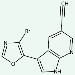 C#Cc1cnc2[nH]cc(-c3ocnc3Br)c2c1